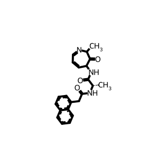 CC1N=CC=CC(NC(=O)[C@H](C)NC(=O)Cc2cccc3ccccc23)C1=O